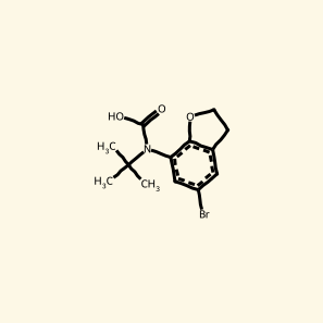 CC(C)(C)N(C(=O)O)c1cc(Br)cc2c1OCC2